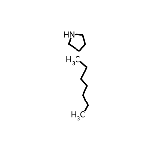 C1CCNC1.CCCCCCC